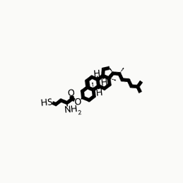 CC(C)CCC[C@@H](C)[C@H]1CC[C@H]2[C@@H]3CC=C4C[C@@H](OC(=O)[C@H](N)CCS)CC[C@]4(C)[C@H]3CC[C@]12C